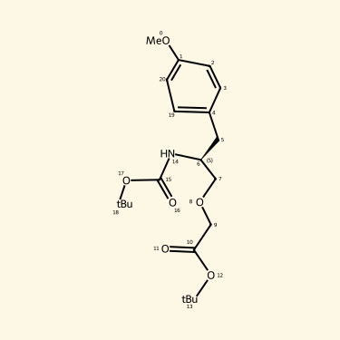 COc1ccc(C[C@@H](COCC(=O)OC(C)(C)C)NC(=O)OC(C)(C)C)cc1